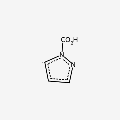 O=C(O)n1[c]ccn1